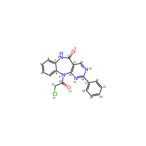 O=C1Nc2ccccc2N(C(=O)CCl)c2nc(-c3ccccc3)ncc21